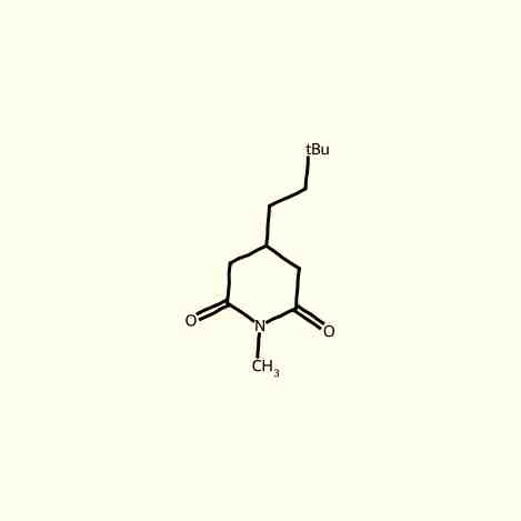 CN1C(=O)CC(CCC(C)(C)C)CC1=O